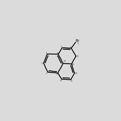 BrC1=Cc2cccc3cccc(c23)C1